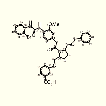 COc1cc(CC(=O)N2C(COCc3ccccc3)CCC2COc2cccc(C(=O)O)c2)ccc1NC(=O)Nc1ccccc1Br